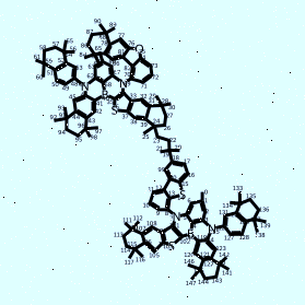 Cc1cc2c3c(c1)N(c1cccc4c1sc1ccc(C(C)(C)CCC5(C)CCC(C)(C)c6cc7c8c(sc7cc65)B5c6cc7c(cc6N(c6ccc9c(c6)C(C)(C)CCC9(C)C)c6cc(C)cc(c65)N8c5cccc6oc8cc9c(cc8c56)C(C)(C)CCC9(C)C)C(C)(C)CCC7(C)C)cc14)c1c(sc4cc5c(cc14)C(C)(C)CCC5(C)C)B3c1cc3c(cc1N2c1ccc2c(c1)C(C)(C)CCC2(C)C)C(C)(C)CCC3(C)C